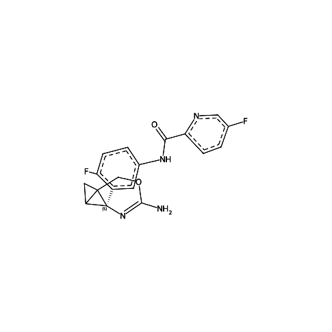 NC1=N[C@@]2(c3cc(NC(=O)c4ccc(F)cn4)ccc3F)C3CC32CO1